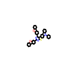 c1ccc(-n2c3ccccc3c3cc4c(cc32)sc2nc(-c3ccc5c(c3)oc3ccccc35)nc(-c3ccc5c(c3)oc3ccccc35)c24)cc1